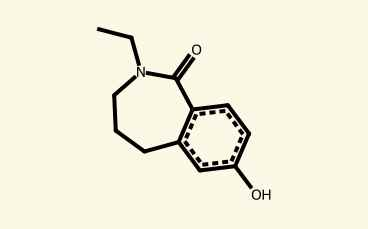 CCN1CCCc2cc(O)ccc2C1=O